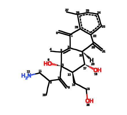 C=C1C2=C(C)[C@](O)(C(=C)C(C)CN)[C@H](CCO)[C@@H](O)[C@@H]2C(=C)c2cccc(C)c21